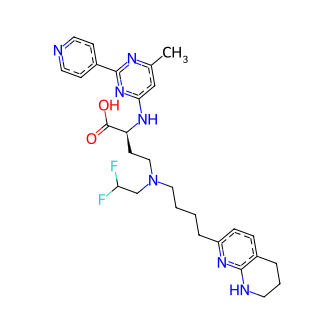 Cc1cc(N[C@@H](CCN(CCCCc2ccc3c(n2)NCCC3)CC(F)F)C(=O)O)nc(-c2ccncc2)n1